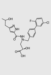 CC(O)Cc1cc(C(=O)NN(Cc2ccc(-c3cc(Cl)ccc3F)cc2)C[C@@H](O)C(=O)O)[nH]n1